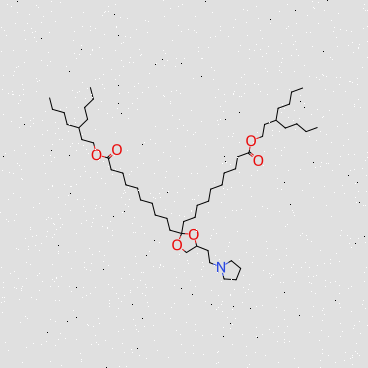 CCCCC(CCCC)CCOC(=O)CCCCCCCCCC1(CCCCCCCCCC(=O)OCCC(CCCC)CCCC)OCC(CCN2CCCC2)O1